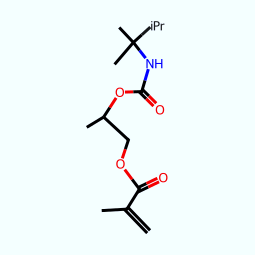 C=C(C)C(=O)OCC(C)OC(=O)NC(C)(C)C(C)C